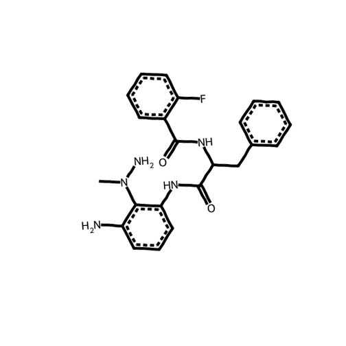 CN(N)c1c(N)cccc1NC(=O)C(Cc1ccccc1)NC(=O)c1ccccc1F